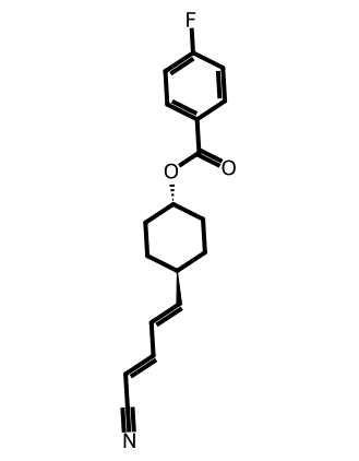 N#C/C=C/C=C/[C@H]1CC[C@H](OC(=O)c2ccc(F)cc2)CC1